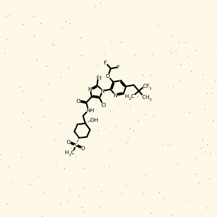 CCc1nc(C(=O)NC[C@]2(O)CC[C@@H](S(C)(=O)=O)CC2)c(Cl)n1-c1ncc(CC(C)(C)C(F)(F)F)cc1OC(F)F